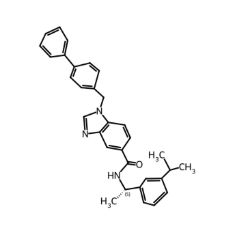 CC(C)c1cccc([C@H](C)NC(=O)c2ccc3c(c2)ncn3Cc2ccc(-c3ccccc3)cc2)c1